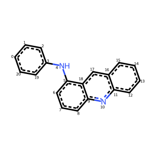 [c]1ccc(Nc2cccc3nc4ccccc4cc23)cc1